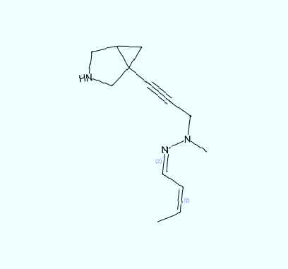 C/C=C\C=N/N(C)CC#CC12CNCC1C2